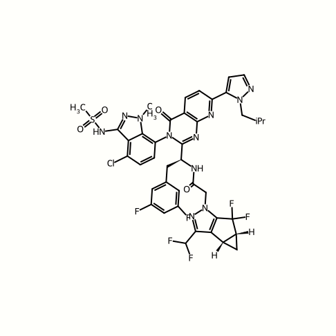 CC(C)Cn1nccc1-c1ccc2c(=O)n(-c3ccc(Cl)c4c(NS(C)(=O)=O)nn(C)c34)c([C@H](Cc3cc(F)cc(F)c3)NC(=O)Cn3nc(C(F)F)c4c3C(F)(F)[C@@H]3C[C@H]43)nc2n1